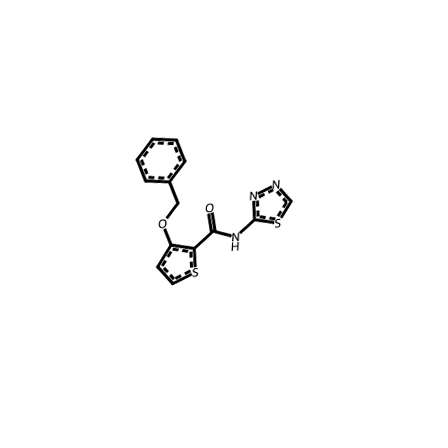 O=C(Nc1nncs1)c1sccc1OCc1ccccc1